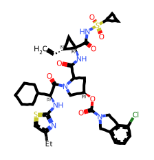 C=C[C@@H]1C[C@]1(NC(=O)C1C[C@@H](OC(=O)N2Cc3cccc(Cl)c3C2)CN1C(=O)[C@@H](Nc1nc(CC)cs1)C1CCCCC1)C(=O)NS(=O)(=O)C1CC1